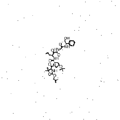 CC[C@@H](C)C(NC(=O)[C@@H]1C[C@@H](OC(C)(C)C)CN1C(=O)C(NC(=O)OCC(C)C)C(C)(C)C)C(=O)C(=O)NCC(=O)N[C@@H](c1ccccc1)[C@H](C)O